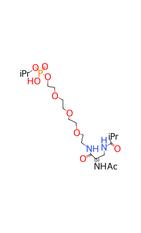 CC(=O)N[C@@H](CNC(=O)C(C)C)C(=O)NCCOCCOCCOCCOP(=O)(O)OC(C)C